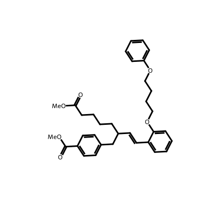 COC(=O)CCCCC(/C=C/c1ccccc1OCCCCOc1ccccc1)Cc1ccc(C(=O)OC)cc1